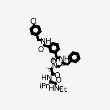 CCNC(=O)[C@@H](NC(=O)[C@H](C)NC[C@H](Cc1ccccc1)NC(=O)c1cccc(C(=O)NCc2ccc(Cl)cc2)c1)C(C)C